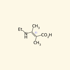 CCN/C(C)=C(\C)C(=O)O